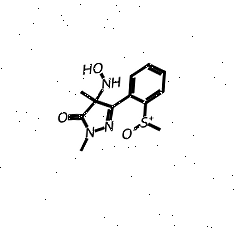 CN1N=C(c2ccccc2[S+](C)[O-])C(C)(NO)C1=O